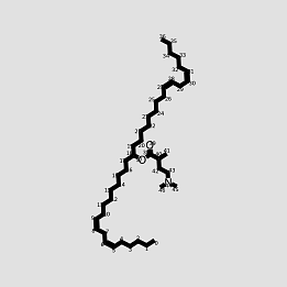 CCCCC/C=C\C/C=C\CCCCCCCCC(CCCCCCCC/C=C\C/C=C\CCCCC)OC(=O)C(C)CCN(C)C